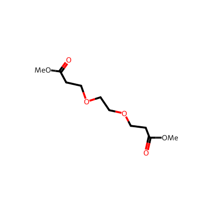 COC(=O)CCOCCOCCC(=O)OC